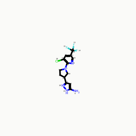 Nc1cc(C2CCN(c3ncc(C(F)(F)F)cc3Cl)C2)n[nH]1